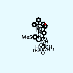 CSc1ccc2c(c1)CCC(NC(=O)CC(C)(C)NC(=O)OC(C)(C)C)C(C(=O)c1ccc(-c3ccccc3-c3nnnn3C(c3ccccc3)(c3ccccc3)c3ccccc3)cc1)N2